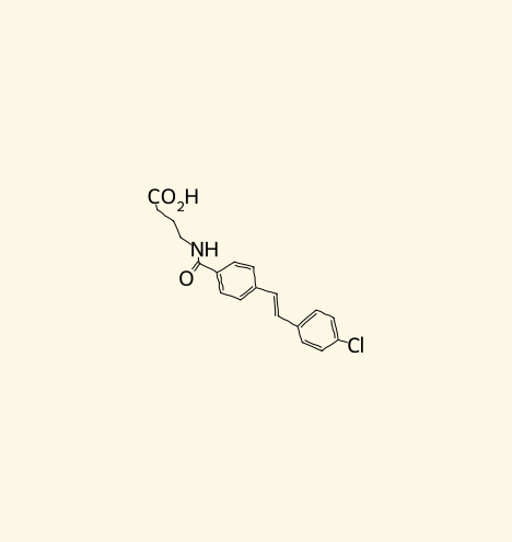 O=C(O)CCCNC(=O)c1ccc(/C=C/c2ccc(Cl)cc2)cc1